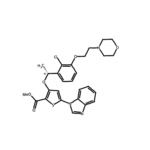 COC(=O)c1sc(-n2cnc3ccccc32)cc1O[C@H](C)c1cccc(OCCN2CCOCC2)c1Cl